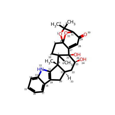 CC1(C)OC23CCC4(C)[C@@]5(C)c6[nH]c7ccccc7c6C[C@@H]5C[C@H](O)[C@@]4(O)C2=CC(=O)C1O3